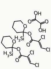 O=C(O)C(=O)O.O=C(OC1([SiH3])CCCCO1)C(Cl)=CCl.O=C(OC1([SiH3])CCCCO1)C(Cl)=CCl